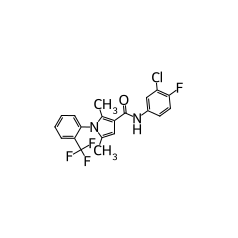 Cc1cc(C(=O)Nc2ccc(F)c(Cl)c2)c(C)n1-c1ccccc1C(F)(F)F